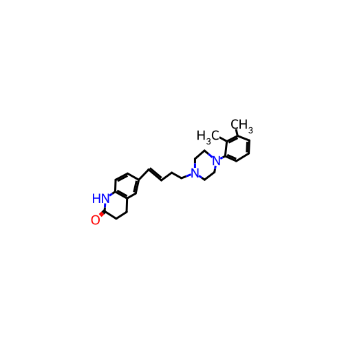 Cc1cccc(N2CCN(CCC=Cc3ccc4c(c3)CCC(=O)N4)CC2)c1C